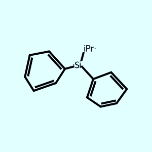 C[C](C)[Si](c1ccccc1)c1ccccc1